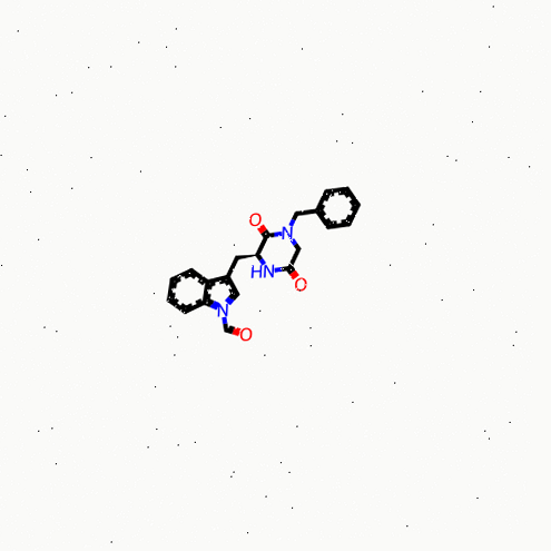 O=Cn1cc(C[C@@H]2NC(=O)CN(Cc3ccccc3)C2=O)c2ccccc21